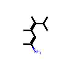 CC(/C=C(\C)N)=C(\C)C(C)C